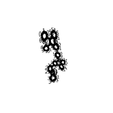 c1ccc(-c2c(-c3ccccc3)c3cc(-c4ccc(N(c5ccc(-c6cccc7c6oc6ccccc67)cc5)c5cccc6ccccc56)cc4)ccc3c3ccccc23)cc1